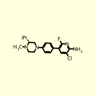 CC(C)[C@H]1CN(c2ccc(-c3cc(Cl)c(N)nc3F)cc2)CCN1C